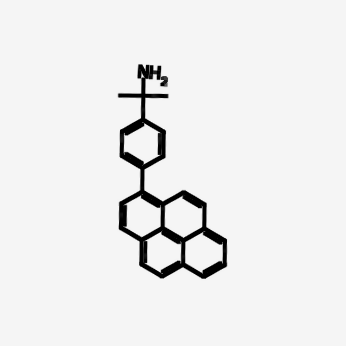 CC(C)(N)c1ccc(-c2ccc3ccc4cccc5ccc2c3c45)cc1